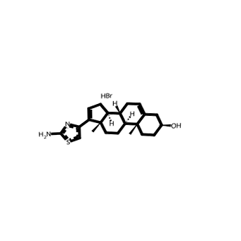 Br.C[C@]12CC[C@H](O)CC1=CC[C@@H]1[C@@H]2CC[C@]2(C)C(c3csc(N)n3)=CC[C@@H]12